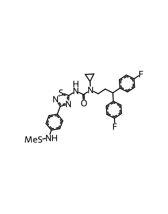 CSNc1ccc(-c2nsc(NC(=O)N(CCC(c3ccc(F)cc3)c3ccc(F)cc3)C3CC3)n2)cc1